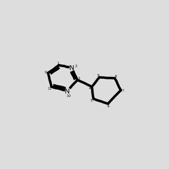 [c]1cnc(C2CC[CH]CC2)nc1